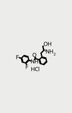 Cl.N[C@@H](CO)Cc1ccccc1C(=O)Nc1ccc(F)cc1F